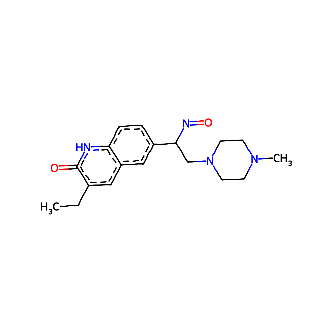 CCc1cc2cc(C(CN3CCN(C)CC3)N=O)ccc2[nH]c1=O